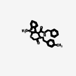 Cc1ccc(CCN2C(=O)CSc3c(c4ccccc4n3C)C2C(=O)NCc2ccccc2)cc1